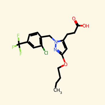 CCCCOc1cc(CCC(=O)O)n(Cc2ccc(C(F)(F)F)cc2Cl)n1